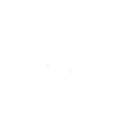 CC=O.O.[NaH].[NaH]